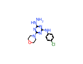 NNc1nc(Nc2ccc(Cl)cc2)nc(N2CCOCC2)n1